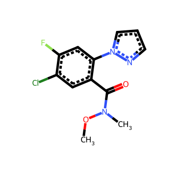 CON(C)C(=O)c1cc(Cl)c(F)cc1-n1cccn1